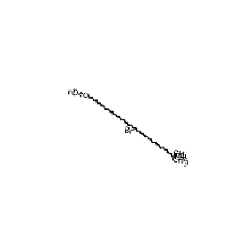 CCCCCCCCCCCCCCCCCCCCCCCCCCCCCCCCCCCCCCCCCCCCCCCCCCCCCC[P+](C)(C)C.[Br-]